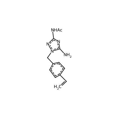 C=Cc1ccc(Cn2nc(NC(C)=O)nc2N)cc1